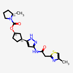 Cc1csc(CC(=O)Nc2cc([C@H]3CC[C@@H](OC(=O)N4CCC[C@@H]4C)C3)[nH]n2)n1